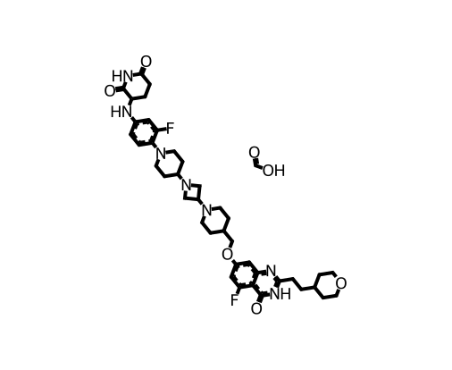 O=C1CCC(Nc2ccc(N3CCC(N4CC(N5CCC(COc6cc(F)c7c(=O)[nH]c(CCC8CCOCC8)nc7c6)CC5)C4)CC3)c(F)c2)C(=O)N1.O=CO